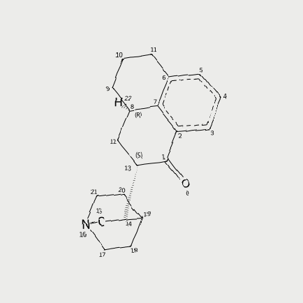 O=C1c2cccc3c2[C@H](CCC3)C[C@H]1C1CN2CCC1CC2